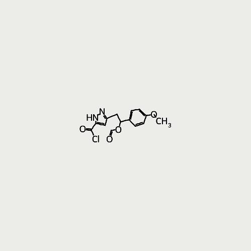 COc1ccc(C(Cc2cc(C(=O)Cl)[nH]n2)OC=O)cc1